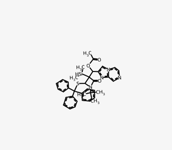 CC(=O)OC(c1cn2ccncc2n1)C1([SiH](C)C)C(=O)N(C(C)(C)C)C1SC(c1ccccc1)(c1ccccc1)c1ccccc1